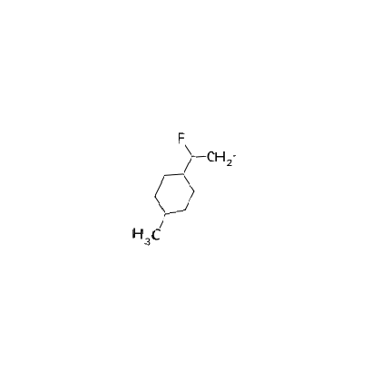 [CH2]C(F)C1CCC(C)CC1